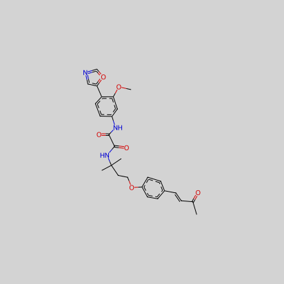 COc1cc(NC(=O)C(=O)NC(C)(C)CCOc2ccc(/C=C/C(C)=O)cc2)ccc1-c1cnco1